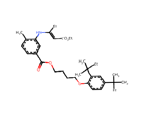 CCOC(=O)C=C(CC)Nc1cc(C(=O)OCCCCOc2ccc(C(C)(C)CC)cc2C(C)(C)CC)ccc1C